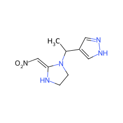 CC(c1cn[nH]c1)N1CCNC1=C[N+](=O)[O-]